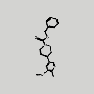 COc1cc(C2CCN(C(=O)OCc3ccccc3)CC2)cnc1C